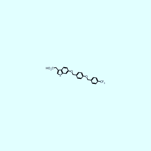 O=C(O)Cc1csc2cc(OCc3ccc(OCc4ccc(C(F)(F)F)cc4)cc3)ccc12